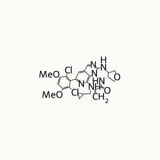 C=CC(=O)N[C@H]1COCC1Nc1ncc2cc(-c3c(Cl)c(OC)cc(OC)c3Cl)nc(NCC3CC3)c2n1